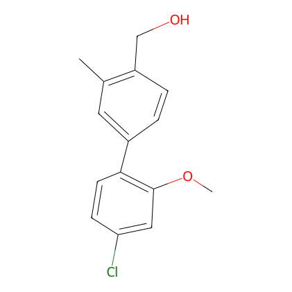 COc1cc(Cl)ccc1-c1ccc(CO)c(C)c1